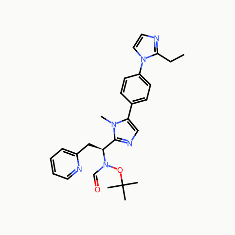 CCc1nccn1-c1ccc(-c2cnc([C@H](Cc3ccccn3)N(C=O)OC(C)(C)C)n2C)cc1